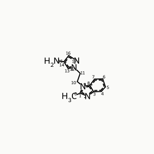 Cc1nc2ccccc2n1CCn1cc(N)cn1